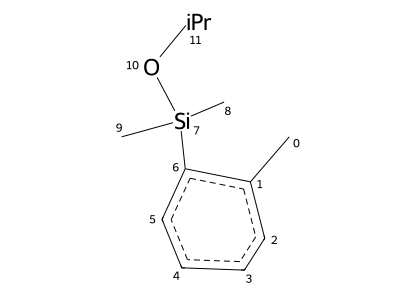 Cc1ccccc1[Si](C)(C)OC(C)C